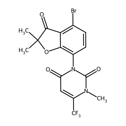 Cn1c(C(F)(F)F)cc(=O)n(-c2ccc(Br)c3c2OC(C)(C)C3=O)c1=O